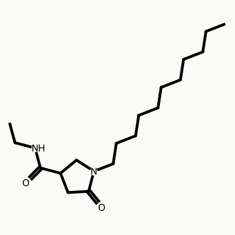 CCCCCCCCCCCN1CC(C(=O)NCC)CC1=O